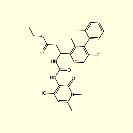 CCOC(=O)CC(NC(=O)Nc1c(O)cc(C)n(C)c1=O)c1ccc(F)c(-c2ccccc2C)c1C